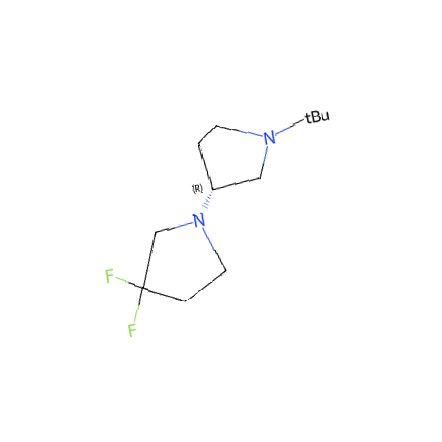 CC(C)(C)N1CC[C@@H](N2CCC(F)(F)C2)C1